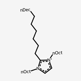 CCCCCCCCCCCCCCCCc1n(CCCCCCCC)cc[n+]1CCCCCCCC